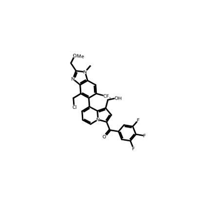 COCc1nc2c(CCl)c(-c3cccn4c(C(=O)c5cc(F)c(F)c(F)c5)cc(CO)c34)c(C(F)(F)F)cc2n1C